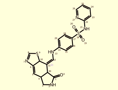 O=C1NCC2C=C3N=CSC3/C(=C\Nc3ccc(S(=O)(=O)Nc4ccccn4)cc3)C12